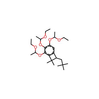 CCOC(C)Oc1cc2c(c(OC(C)OCC)c1OC(C)OCC)C(C)(C)C2CC(C)(C)C